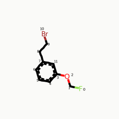 FCOc1cccc(CCBr)c1